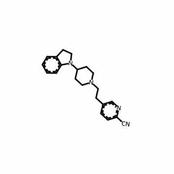 N#Cc1ccc(CCN2CCC(N3CCc4ccccc43)CC2)cn1